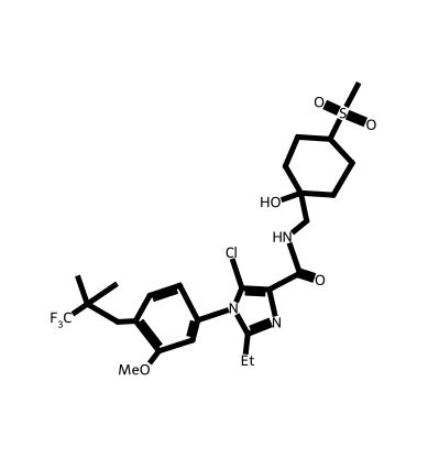 CCc1nc(C(=O)NCC2(O)CCC(S(C)(=O)=O)CC2)c(Cl)n1-c1ccc(CC(C)(C)C(F)(F)F)c(OC)c1